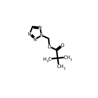 CC(C)(C)C(=O)OCn1ncnn1